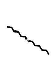 CCC=CCC=NCCCCCC